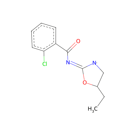 CCC1C[N]C(=NC(=O)c2ccccc2Cl)O1